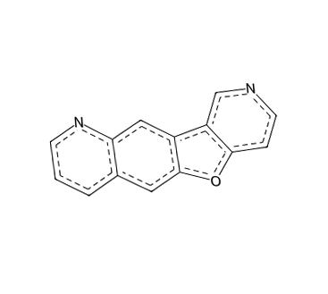 c1cnc2cc3c(cc2c1)oc1ccncc13